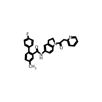 Cc1ccc(-c2ccc(F)cc2)c(C(=O)Nc2ccc3c(c2)CCN3C(=O)Cc2ccccn2)c1